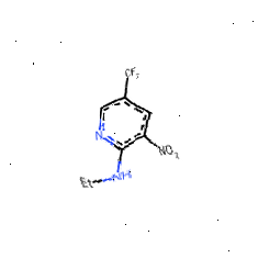 CCNc1ncc(C(F)(F)F)cc1[N+](=O)[O-]